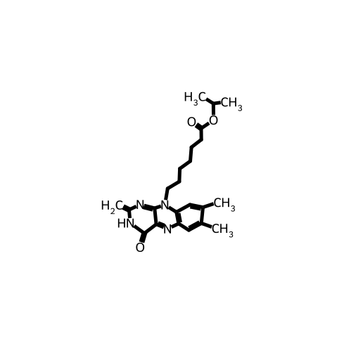 C=c1nc2c(c(=O)[nH]1)=Nc1cc(C)c(C)cc1N2CCCCCCC(=O)OC(C)C